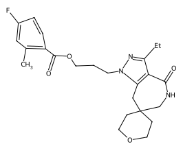 CCc1nn(CCCOC(=O)c2ccc(F)cc2C)c2c1C(=O)NCC1(CCOCC1)C2